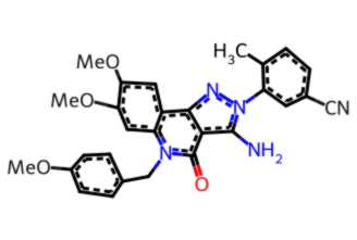 COc1ccc(Cn2c(=O)c3c(N)n(-c4cc(C#N)ccc4C)nc3c3cc(OC)c(OC)cc32)cc1